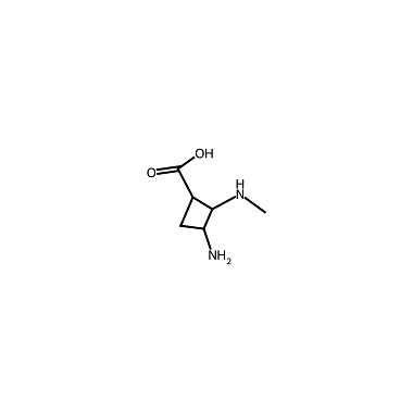 CNC1C(N)CC1C(=O)O